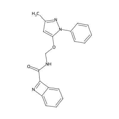 Cc1cc(OCNC(=O)C2=Nc3ccccc32)n(-c2ccccc2)n1